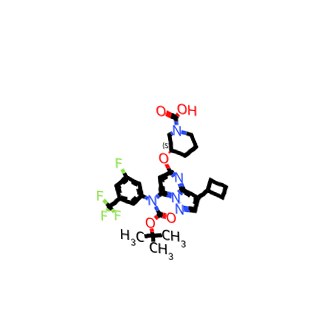 CC(C)(C)OC(=O)N(c1cc(F)cc(C(F)(F)F)c1)c1cc(O[C@H]2CCCN(C(=O)O)C2)nc2c(C3CCC3)cnn12